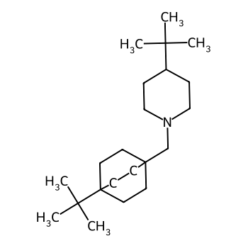 CC(C)(C)C1CCN(CC23CCC(C(C)(C)C)(CC2)CC3)CC1